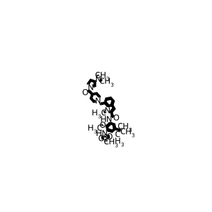 COc1c(NC(=O)c2cc3cccc(CN4CCC(C(=O)N5CC[C@H](N(C)C)C5)CC4)c3n2C)cc(C(C)(C)C)cc1NS(C)(=O)=O